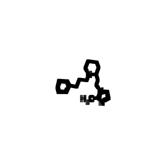 Cc1nccn1CCC1CCCCN1CCCc1ccccc1